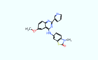 COc1ccc2nc(-c3cccnc3)nc(Nc3ccc4c(c3)sc(=O)n4C)c2c1